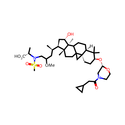 COC(C[C@@H](C)[C@H]1C[C@H](O)[C@@]2(C)C3CC[C@H]4C(C)(C)[C@@H](O[C@H]5CN(C(=O)CC6CC6)CCO5)CC[C@@]45CC35CC[C@]12C)CN([C@@H](C)C(=O)O)S(C)(=O)=O